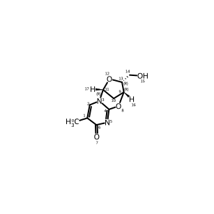 Cc1cn2c(nc1=O)O[C@@H]1C[C@H]2O[C@@H]1CO